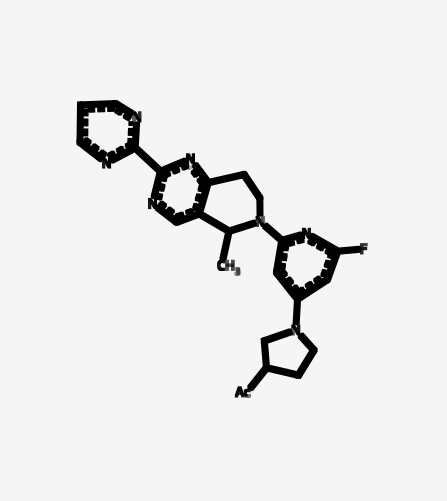 CC(=O)C1CCN(c2cc(F)nc(N3CCc4nc(-c5ncccn5)ncc4C3C)c2)C1